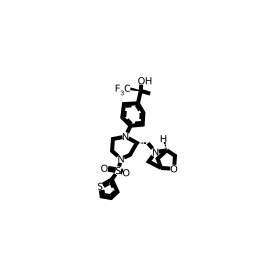 C[C@@](O)(c1ccc(N2CCN(S(=O)(=O)c3cccs3)C[C@H]2CN2CC3C[C@@H]2CO3)cc1)C(F)(F)F